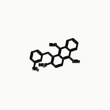 COc1c2ccccc2c(OC)c2c(Cc3cccc([N+](=O)[O-])c3)c(S(=O)(=O)O)ccc12